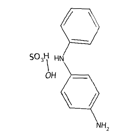 Nc1ccc(Nc2ccccc2)cc1.O=S(=O)(O)O